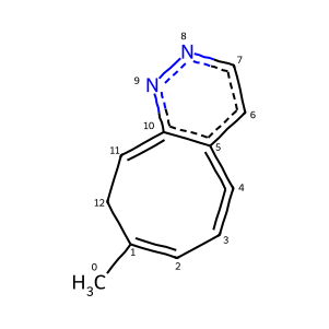 C/C1=C/C=C=c2ccnn/c2=C/C1